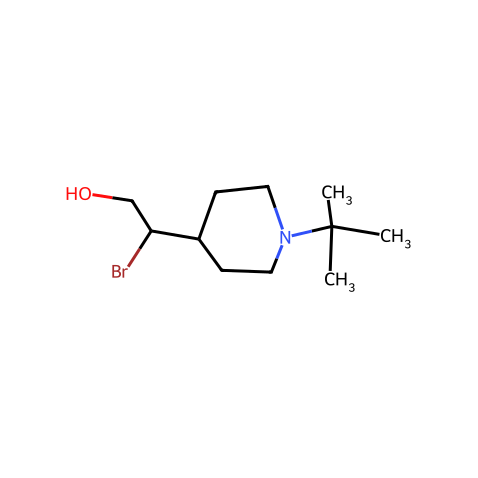 CC(C)(C)N1CCC(C(Br)CO)CC1